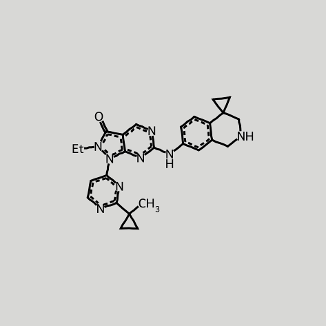 CCn1c(=O)c2cnc(Nc3ccc4c(c3)CNCC43CC3)nc2n1-c1ccnc(C2(C)CC2)n1